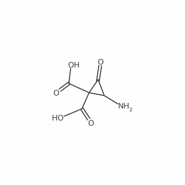 NC1C(=O)C1(C(=O)O)C(=O)O